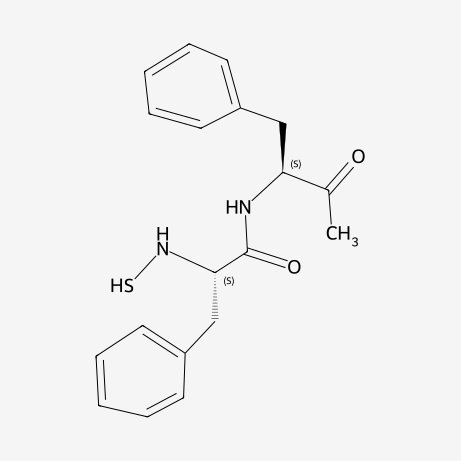 CC(=O)[C@H](Cc1ccccc1)NC(=O)[C@H](Cc1ccccc1)NS